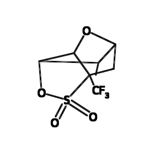 CC1C2CC3(C(F)(F)F)C(O2)C1OS3(=O)=O